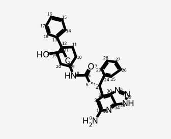 Nc1cc([C@H](CC(=O)NC23CCC(c4ccccc4)(CC2)C(O)C3)c2ccccc2)c2nn[nH]c2n1